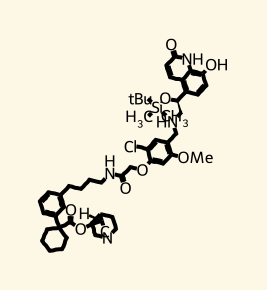 COc1cc(OCC(=O)NCCCCc2cccc(C3(C(=O)O[C@H]4CN5CCC4CC5)CCCCC3)c2)c(Cl)cc1CNC[C@@H](O[Si](C)(C)C(C)(C)C)c1ccc(O)c2[nH]c(=O)ccc12